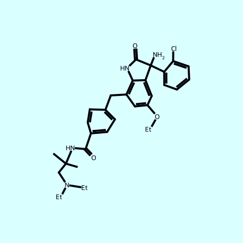 CCOc1cc(Cc2ccc(C(=O)NC(C)(C)CN(CC)CC)cc2)c2c(c1)C(N)(c1ccccc1Cl)C(=O)N2